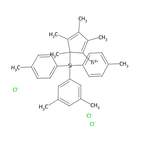 CC1=C(C)C(C)([Si](c2ccc(C)cc2)(c2ccc(C)cc2)c2cc(C)cc(C)c2)[C]([Ti+3])=C1C.[Cl-].[Cl-].[Cl-]